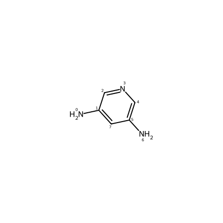 Nc1cncc(N)c1